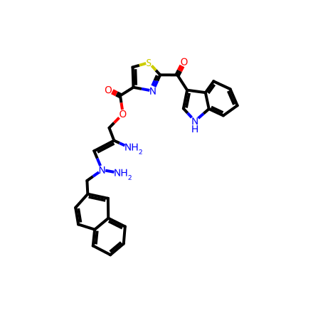 N/C(=C\N(N)Cc1ccc2ccccc2c1)COC(=O)c1csc(C(=O)c2c[nH]c3ccccc23)n1